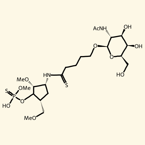 COC[C@H]1C[C@@H](NC(=S)CCCCO[C@@H]2O[C@H](CO)[C@H](O)[C@H](O)[C@H]2NC(C)=O)[C@@H](OC)C1OP(O)(=S)OC